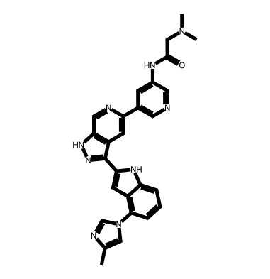 Cc1cn(-c2cccc3[nH]c(-c4n[nH]c5cnc(-c6cncc(NC(=O)CN(C)C)c6)cc45)cc23)cn1